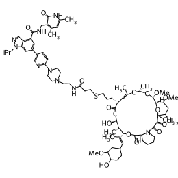 COC1CC(/C=C(\C)[C@H]2OC(=O)[C@@H]3CCCCN3C(=O)C(=O)[C@]3(C)O[C@H]([C@@H](OC)C[C@@H](C)C/C(C)=C/[C@@H](CCCSCCC(=O)NCCN4CCN(c5ccc(-c6cc(C(=O)NCc7c(C)cc(C)[nH]c7=O)c7cnn(C(C)C)c7c6)cn5)CC4)C(=O)C[C@H](O)[C@H]2C)[C@@H](OC)C[C@H]3C)CC[C@H]1O